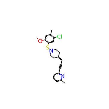 COc1cc(C)c(Cl)cc1SN1CCC(=CC#Cc2cccc(C)n2)CC1